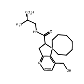 N[C@H](CNC(=O)C1Cc2nccc(CO)c2S12CCCCCCC2)C(=O)O